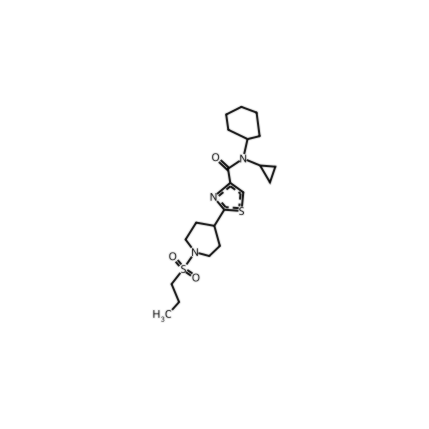 CCCS(=O)(=O)N1CCC(c2nc(C(=O)N(C3CCCCC3)C3CC3)cs2)CC1